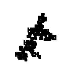 CCOC(=O)[C@H](CNC(=O)C(=O)NC)NC(=O)c1ccc(Nc2nc(NC3(c4ccc(Cl)cc4)CC3)nc(OCC(F)(F)F)n2)cc1